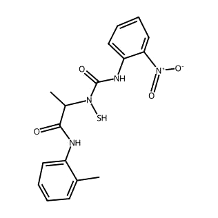 Cc1ccccc1NC(=O)C(C)N(S)C(=O)Nc1ccccc1[N+](=O)[O-]